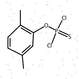 Cc1ccc(C)c(OP(=S)(Cl)Cl)c1